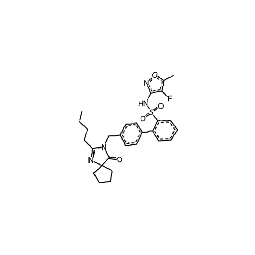 CCCCC1=NC2(CCCC2)C(=O)N1Cc1ccc(-c2ccccc2S(=O)(=O)Nc2noc(C)c2F)cc1